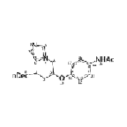 CCCCCCCCCCCCC(Cn1ccnc1)Oc1ccc(NC(C)=O)cc1